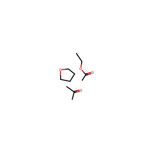 C1CCOC1.CC(C)=O.CCOC(C)=O